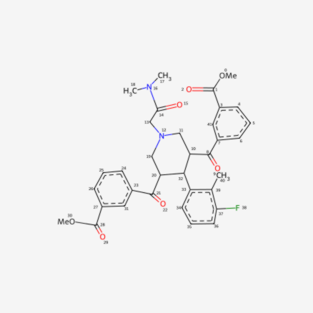 COC(=O)c1cccc(C(=O)C2CN(CC(=O)N(C)C)CC(C(=O)c3cccc(C(=O)OC)c3)C2c2cccc(F)c2C)c1